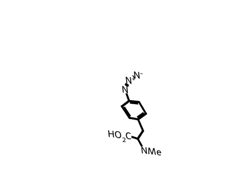 CNC(Cc1ccc(N=[N+]=[N-])cc1)C(=O)O